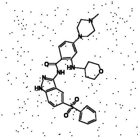 CN1CCN(c2ccc(C(=O)Nc3n[nH]c4ccc(S(=O)(=O)c5ccccc5)cc34)c(NC3CCOCC3)c2)CC1